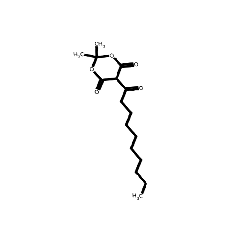 CCCCCCCCCC(=O)C1C(=O)OC(C)(C)OC1=O